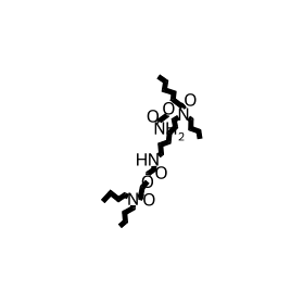 CCCCC(OCC(N)=O)C(=O)N(CCCC)CCCCCCNC(=O)COCC(=O)N(CCCC)CCCC